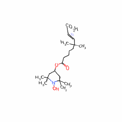 CC(C)(/C=C/C(=O)O)CCCCC(=O)OC1CC(C)(C)N(O)C(C)(C)C1